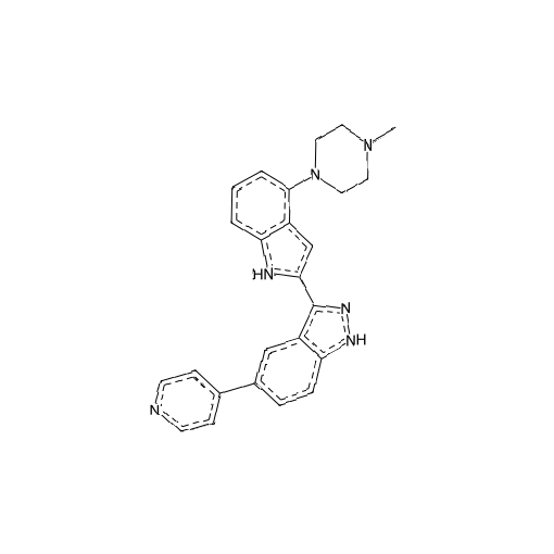 CN1CCN(c2cccc3[nH]c(-c4n[nH]c5ccc(-c6ccncc6)cc45)cc23)CC1